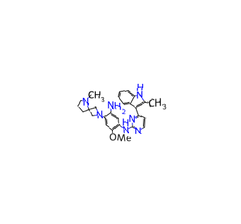 COc1cc(N2CC3(CCCN3C)C2)c(N)cc1Nc1nccc(-c2c(C)[nH]c3ccccc23)n1